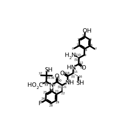 Cc1cc(O)cc(C)c1C[C@H](N)C(=O)N[C@H](CS)C(=O)N[C@@H](Cc1ccc(F)cc1)C(=O)N[C@@H](C(=O)O)C(C)(C)S